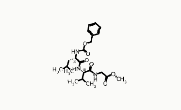 COC(=O)CNC(=O)[C@@H](NC(=O)[C@H](CC(C)C)NC(=O)OCc1ccccc1)C(C)C